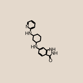 O=c1[nH][nH]c2cc(NC3CCCC(Nc4ccccn4)C3)ccc12